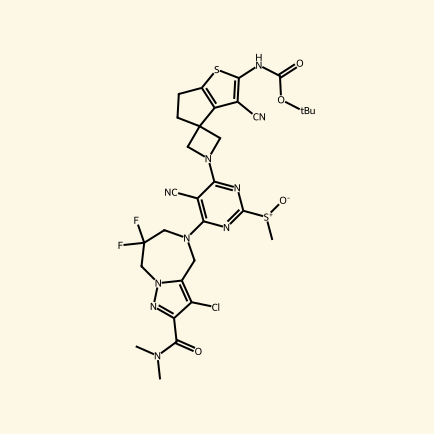 CN(C)C(=O)c1nn2c(c1Cl)CN(c1nc([S+](C)[O-])nc(N3CC4(CCc5sc(NC(=O)OC(C)(C)C)c(C#N)c54)C3)c1C#N)CC(F)(F)C2